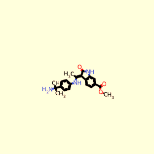 COC(=O)c1ccc2c(c1)NC(=O)C2=C(C)Nc1ccc(C(C)(C)N)cc1